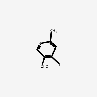 Cc1cc(I)c(C=O)cn1